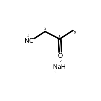 CC(=O)CC#N.[NaH]